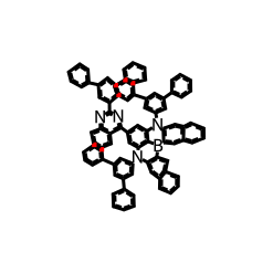 c1ccc(-c2cc(-c3ccccc3)cc(-c3nc(-c4cc5c6c(c4)N(c4cc(-c7ccccc7)cc(-c7ccccc7)c4)c4cc7ccccc7cc4B6c4cc6ccccc6cc4N5c4cc(-c5ccccc5)cc(-c5ccccc5)c4)c4ccccc4n3)c2)cc1